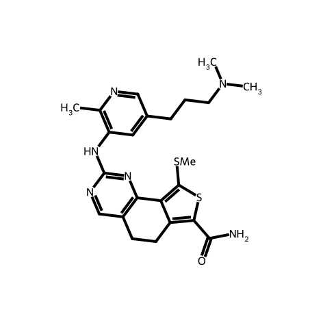 CSc1sc(C(N)=O)c2c1-c1nc(Nc3cc(CCCN(C)C)cnc3C)ncc1CC2